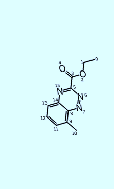 CCOC(=O)c1nnc2c(C)cccc2n1